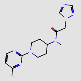 CSc1ccnc(N2CCC(N(C)C(=O)Cn3cncn3)CC2)n1